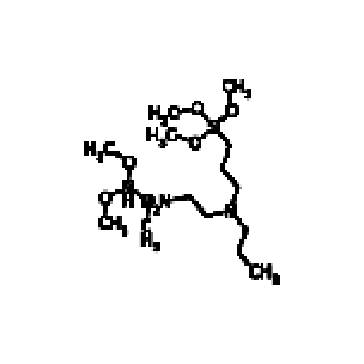 CCCN(CCN)CCC[Si](OC)(OC)OC.CO[SiH](OC)OC